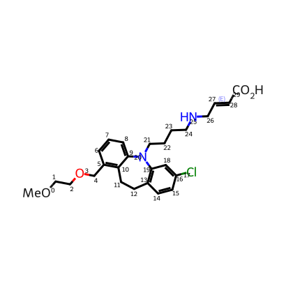 COCCOCc1cccc2c1CCc1ccc(Cl)cc1N2CCCCNC/C=C/C(=O)O